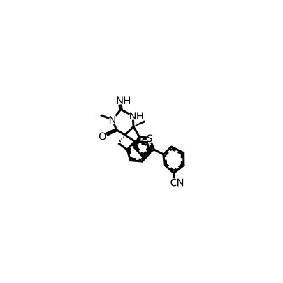 CN1C(=N)N[C@](C)(c2ccc(-c3cccc(C#N)c3)s2)[C@]2(Cc3ccccc32)C1=O